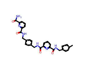 Cc1ccc(CNC(=O)c2cccc(C(=O)NCc3ccc(CNC(=O)c4cccc(C(N)=O)n4)cc3)n2)cc1